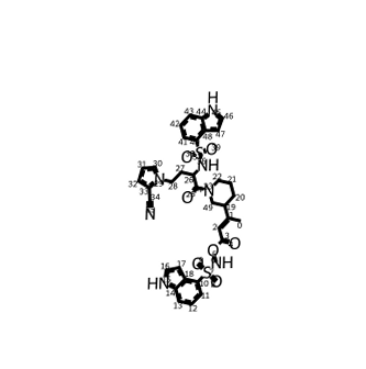 C/C(=C\C(=O)ONS(=O)(=O)c1cccc2[nH]ccc12)C1CCCN(C(=O)C(CCn2cccc2C#N)NS(=O)(=O)c2cccc3[nH]ccc23)C1